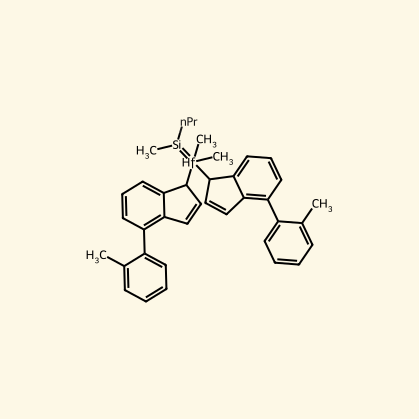 CCC[Si](C)=[Hf]([CH3])([CH3])([CH]1C=Cc2c(-c3ccccc3C)cccc21)[CH]1C=Cc2c(-c3ccccc3C)cccc21